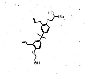 C=CCc1cc(C(C)(C)c2ccc(OCC(O)C(C)(C)C)c(CC=C)c2)ccc1OCCO